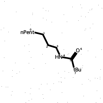 CCCCCCCCNC(=O)C(C)(C)C